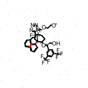 COCCOCn1nnnc1[C@]1(F)C[C@@]2(c3ccccc3)[C@H](O[C@@H](CO)c3cc(C(F)(F)F)cc(C(F)(F)F)c3)CC[C@@H]1N2Cc1ccccc1